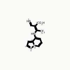 N=C/C(C(=O)O)=C(\Nc1cccn2nccc12)C(F)(F)F